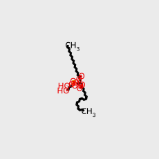 CC/C=C\C/C=C\C/C=C\C/C=C\CCCCC(=O)O[C@H](COC(=O)CCCCCCCCCCCCCCCC)COP(=O)(O)OC[C@@H](O)CO